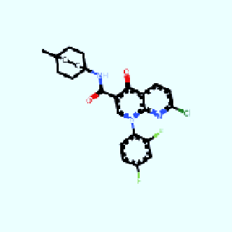 CC12CCC(NC(=O)c3cn(-c4ccc(F)cc4F)c4nc(Cl)ccc4c3=O)(CC1)CC2